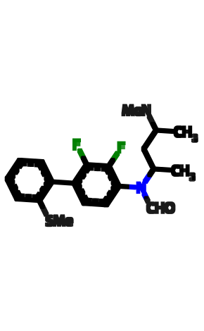 CNC(C)CC(C)N(C=O)c1ccc(-c2ccccc2SC)c(F)c1F